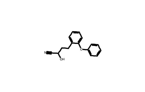 N#CC(O)CCc1ccccc1Oc1ccccc1